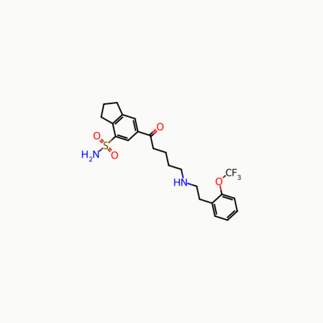 NS(=O)(=O)c1cc(C(=O)CCCCNCCc2ccccc2OC(F)(F)F)cc2c1CCC2